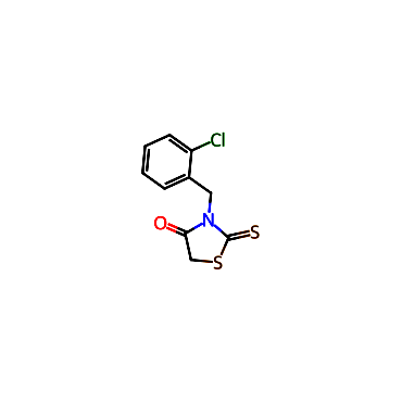 O=C1CSC(=S)N1Cc1ccccc1Cl